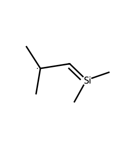 C[C](C)C=[Si](C)C